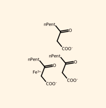 CCCCCC(=O)CC(=O)[O-].CCCCCC(=O)CC(=O)[O-].CCCCCC(=O)CC(=O)[O-].[Fe+3]